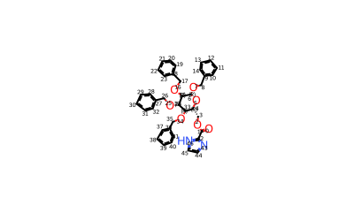 O=C(OC[C@H]1O[C@@H](OCc2ccccc2)[C@H](OCc2ccccc2)[C@@H](OCc2ccccc2)[C@@H]1OCc1ccccc1)c1ncc[nH]1